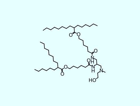 CCCCCCCCC(CCCCCC)C(=O)OCCCCCC(=O)NCC(CN(C)CCO)NC(=O)CCCCCOC(=O)C(CCCCCC)CCCCCCCC